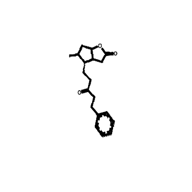 CC1CC2OC(=O)CC2[C@H]1CCC(=O)CCc1ccccc1